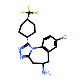 NC1Cc2cc(Cl)ccc2-n2c(nnc2[C@H]2CC[C@H](C(F)(F)F)CC2)C1